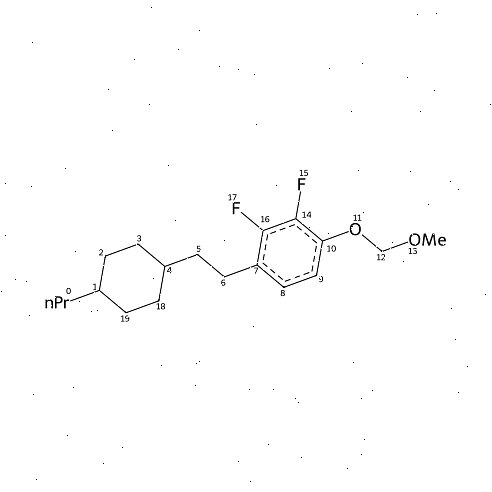 CCCC1CCC(CCc2ccc(OCOC)c(F)c2F)CC1